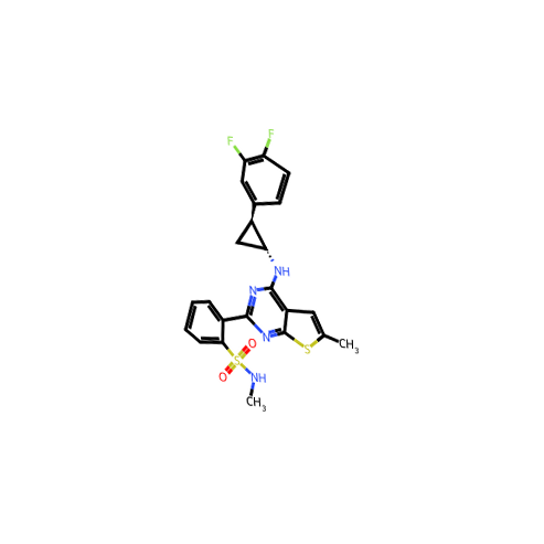 CNS(=O)(=O)c1ccccc1-c1nc(N[C@@H]2C[C@H]2c2ccc(F)c(F)c2)c2cc(C)sc2n1